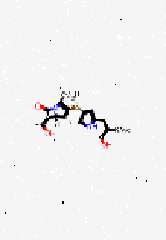 CNC(CO)C[C@@H]1C[C@H](SC2=C(C(=O)O)N3C(=O)[C@H]([C@@H](C)O)[C@H]3[C@H]2C)CN1